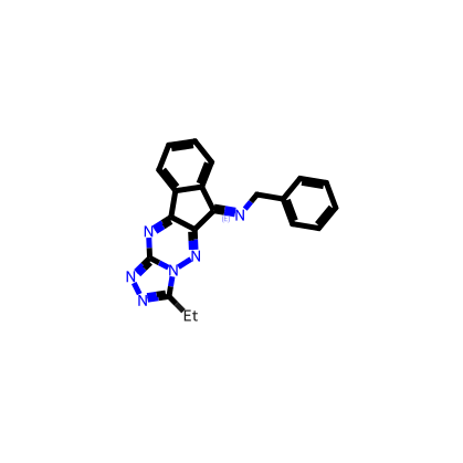 CCc1nnc2nc3c(nn12)/C(=N/Cc1ccccc1)c1ccccc1-3